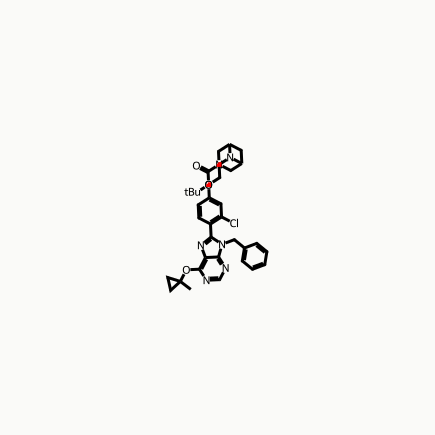 CC(C)(C)OC(=O)N1CC2CC(C1)N2CCOc1ccc(-c2nc3c(OC4(C)CC4)ncnc3n2Cc2ccccc2)c(Cl)c1